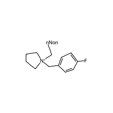 CCCCCCCCCC[N+]1(Cc2ccc(F)cc2)CCCC1